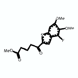 COC(=O)CCCC(=O)c1cc2c(F)c(OC)c(OC)cc2s1